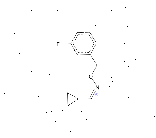 Fc1cccc(CO/N=[C]\C2CC2)c1